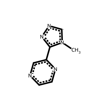 Cn1[c]nnc1-c1cnccn1